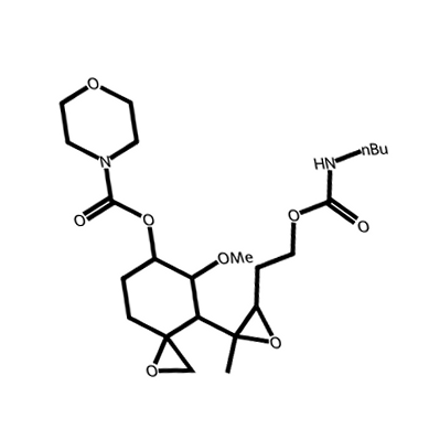 CCCCNC(=O)OCCC1OC1(C)C1C(OC)C(OC(=O)N2CCOCC2)CCC12CO2